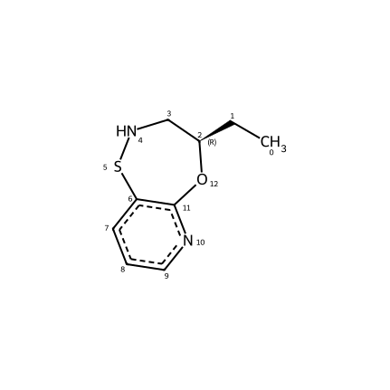 CC[C@@H]1CNSc2cccnc2O1